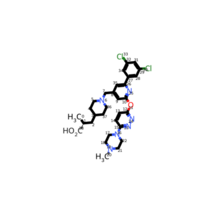 C[C@H](CC1CCN(Cc2cc(Oc3ccc(N4CCN(C)CC4)nn3)nc(-c3cc(Cl)cc(Cl)c3)c2)CC1)C(=O)O